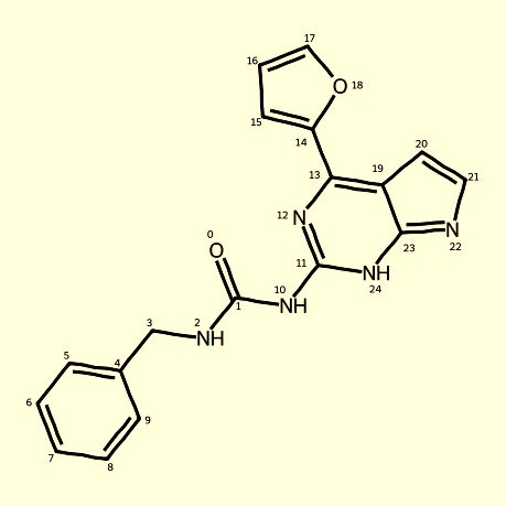 O=C(NCc1ccccc1)Nc1nc(-c2ccco2)c2ccnc-2[nH]1